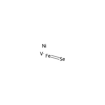 [Fe]=[Se].[Ni].[V]